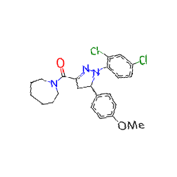 COc1ccc(C2CC(C(=O)N3CCCCCC3)=NN2c2ccc(Cl)cc2Cl)cc1